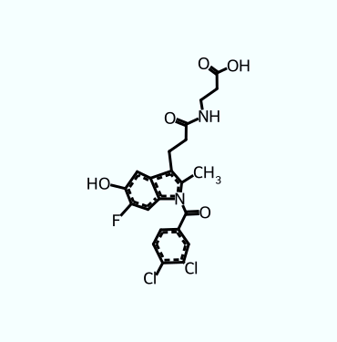 Cc1c(CCC(=O)NCCC(=O)O)c2cc(O)c(F)cc2n1C(=O)c1ccc(Cl)c(Cl)c1